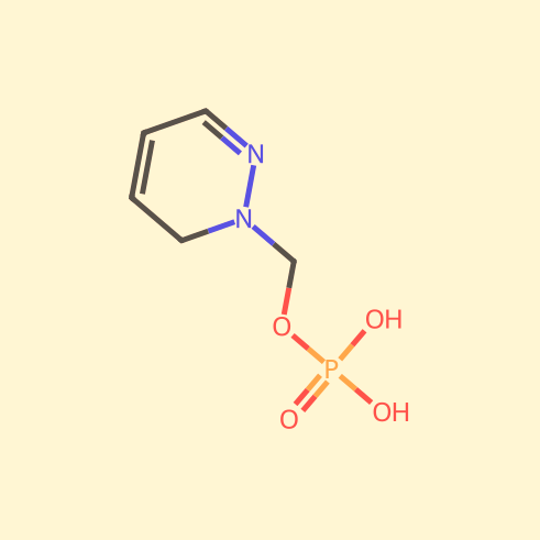 O=P(O)(O)OCN1CC=CC=N1